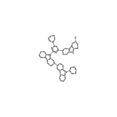 Fc1ccc2sc3ccc(-c4cc(-c5ccccc5)nc(-n5c6ccccc6c6ccc(-c7ccc8c(c7)c7ccccc7n8-c7ccccc7)cc65)n4)cc3c2c1